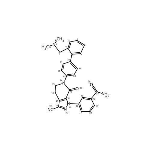 CN(C)Cc1ccccc1-c1ccc(N2CCc3c(C#N)nn(-c4cccc(C(N)=O)c4)c3C2=O)cc1